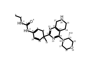 CCNC(=O)NC1=CCC(C)(c2nc3c(c(N4CCOC[C@H]4C)n2)CCNC3)C=C1